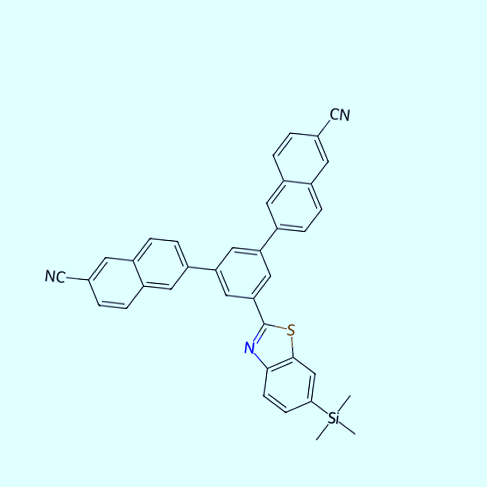 C[Si](C)(C)c1ccc2nc(-c3cc(-c4ccc5cc(C#N)ccc5c4)cc(-c4ccc5cc(C#N)ccc5c4)c3)sc2c1